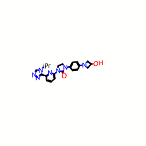 CC(C)n1cnnc1-c1cccc(N2CCN(c3ccc(N4CC(O)C4)cc3)C2=O)n1